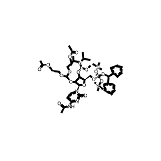 COP(OC1C(OC(OCCOC(C)=O)OCCOC(C)=O)[C@H](n2ccc(NC(C)=O)nc2=O)O[C@@H]1CO[Si](OC(c1ccccc1)c1ccccc1)(O[Si](C)(C)C)O[Si](C)(C)C)N(C(C)C)C(C)C